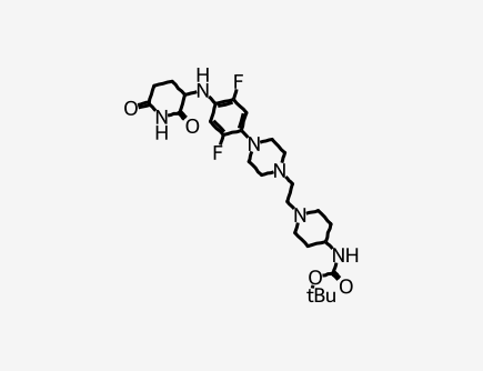 CC(C)(C)OC(=O)NC1CCN(CCN2CCN(c3cc(F)c(NC4CCC(=O)NC4=O)cc3F)CC2)CC1